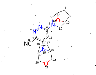 N#Cc1nnc(N2CC3CCC(C2)O3)cc1N1C2CCC1COC2